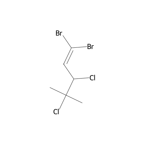 CC(C)(Cl)C(Cl)C=C(Br)Br